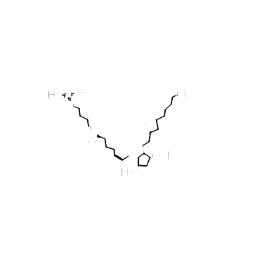 CCCCCCCC(=O)CC[C@@H]1[C@@H](C/C=C\CCCC(=O)OCCCCON(O)O)[C@@H](O)C[C@H]1O